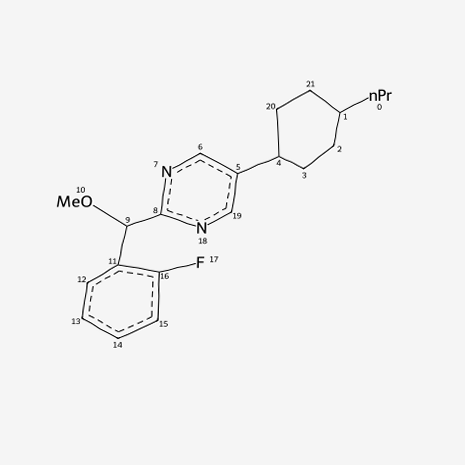 CCCC1CCC(c2cnc(C(OC)c3ccccc3F)nc2)CC1